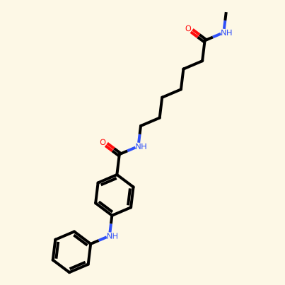 CNC(=O)CCCCCCNC(=O)c1ccc(Nc2ccccc2)cc1